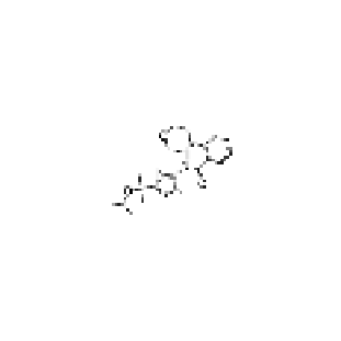 CC(C)OC(C)(C)c1csc(NC(=O)c2ccccc2N2CCOCC2)n1